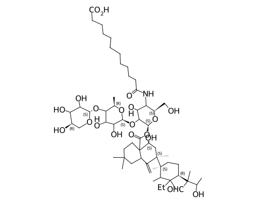 C=C1C2CC(C)(C)CCC2(C(=O)O[C@@H]2O[C@H](CO)C(NC(=O)CCCCCCCCCCC(=O)O)C(O)C2O[C@@H]2O[C@H](C)C(O[C@@H]3OC[C@@H](O)C(O)C3O)C(O)C2O)[C@@H](O)C[C@@]1(C)[C@@]1(C)CC[C@@H](C(C)(C=O)C(C)O)C(C)(CC)C1C